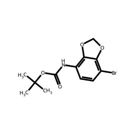 CC(C)(C)OC(=O)Nc1ccc(Br)c2c1OCO2